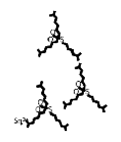 CC(C)CCCCCSC(CCCCCC(C)C)(CCCCCC(C)C)C(=O)[O-].CC(C)CCCCCSC(CCCCCC(C)C)(CCCCCC(C)C)C(=O)[O-].CC(C)CCCCCSC(CCCCCC(C)C)(CCCCCC(C)C)C(=O)[O-].[CH3][Sn+3]